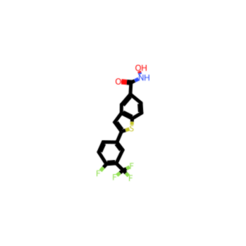 O=C(NO)c1ccc2sc(-c3ccc(F)c(C(F)(F)F)c3)cc2c1